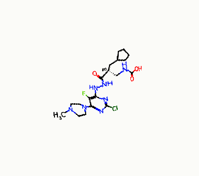 CN1CCN(c2nc(Cl)nc(NNC(=O)[C@@H](CNC(=O)O)CC3CCCC3)c2F)CC1